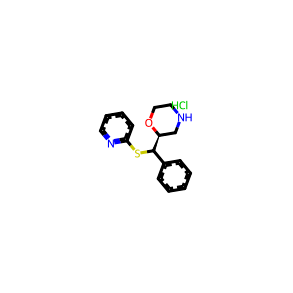 Cl.c1ccc(C(Sc2ccccn2)[C@@H]2CNCCO2)cc1